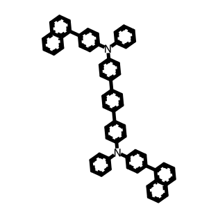 c1ccc(N(c2ccc(-c3ccc(-c4ccc(N(c5ccccc5)c5ccc(-c6cccc7ccccc67)cc5)cc4)cc3)cc2)c2ccc(-c3cccc4ccccc34)cc2)cc1